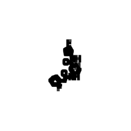 O=C(Cc1ccccc1F)Nc1ccnc(C(=O)NC23CCC(F)(C2)C3)c1